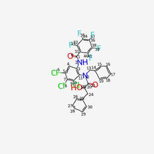 O=C(Nc1cc(Cl)c(Cl)c(Cl)c1N(Cc1ccccc1)C(=O)C(O)Cc1ccccc1)c1c(F)c(F)c(F)c(F)c1F